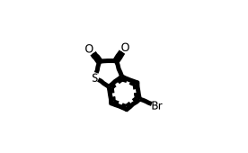 O=C1Sc2ccc(Br)cc2C1=O